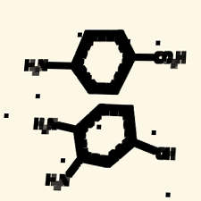 Nc1ccc(C(=O)O)cc1.Nc1ccc(O)cc1N